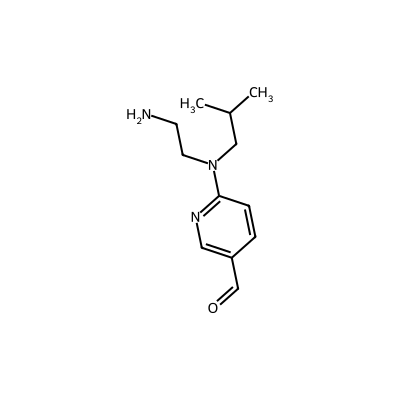 CC(C)CN(CCN)c1ccc(C=O)cn1